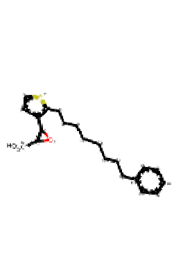 O=C(O)C1OC1c1ccsc1CCCCCCCCc1ccccc1